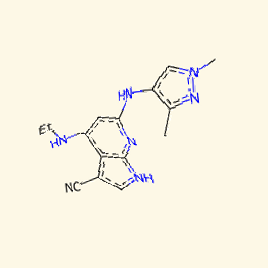 CCNc1cc(Nc2cn(C)nc2C)nc2[nH]cc(C#N)c12